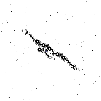 C=CC(=O)OCCCCCCOc1ccc(OC(=O)C2CCC(C(=O)OCCc3ccc(OC(=O)C4CCC(C(=O)Oc5ccc(OCCCCCCOC(=O)C=C)cc5)CC4)c(/C=N/N(CCCCCC)c4nc5ccccc5s4)c3)CC2)cc1